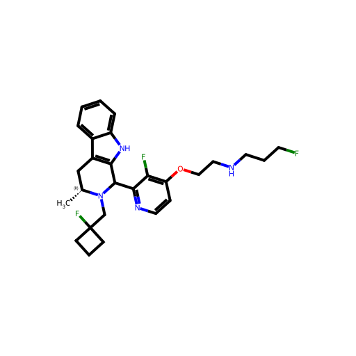 C[C@@H]1Cc2c([nH]c3ccccc23)C(c2nccc(OCCNCCCF)c2F)N1CC1(F)CCC1